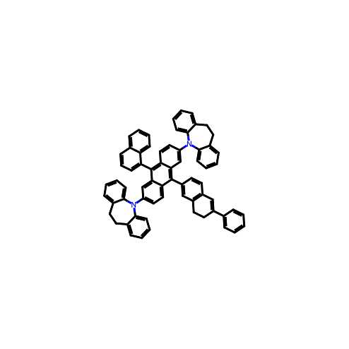 C1=C(c2ccccc2)CCc2cc(-c3c4cc(N5c6ccccc6CCc6ccccc65)ccc4c(-c4cccc5ccccc45)c4cc(N5c6ccccc6CCc6ccccc65)ccc34)ccc21